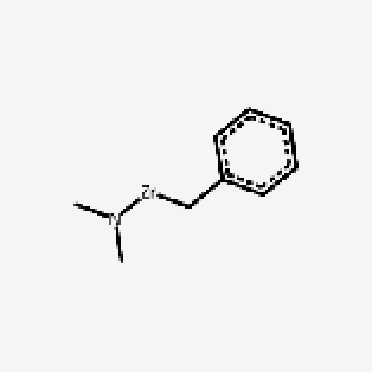 C[N](C)[Zr][CH2]c1ccccc1